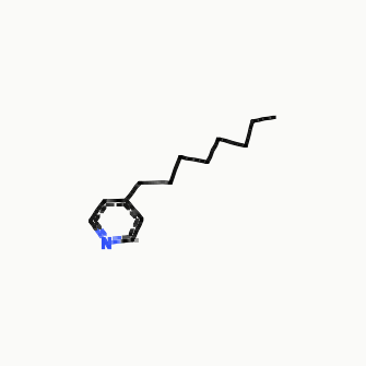 CCCCCCCCc1c[c]ncc1